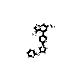 CCOc1cc(-c2ccc(N3CCC(Oc4ccccn4)C3)nc2)c2c(C#N)cnn2c1